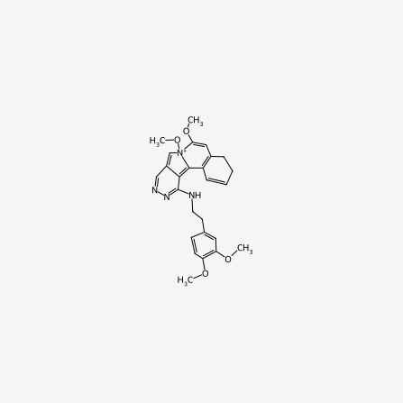 COC1=CC2=C(C=CCC2)C2=c3c(NCCc4ccc(OC)c(OC)c4)nncc3=C[N+]12OC